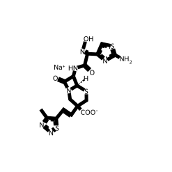 Cc1nnsc1C=CC1(C(=O)[O-])CS[C@@H]2C(NC(=O)C(=NO)c3csc(N)n3)C(=O)N2C1.[Na+]